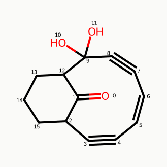 O=C1C2C#CC=CC#CC(O)(O)C1CCC2